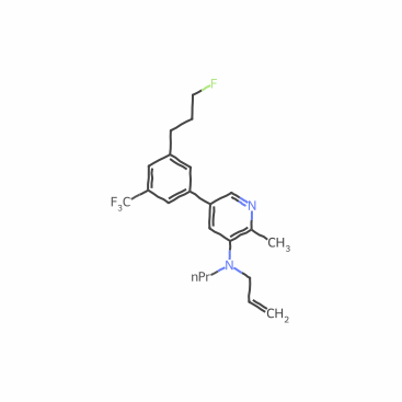 C=CCN(CCC)c1cc(-c2cc(CCCF)cc(C(F)(F)F)c2)cnc1C